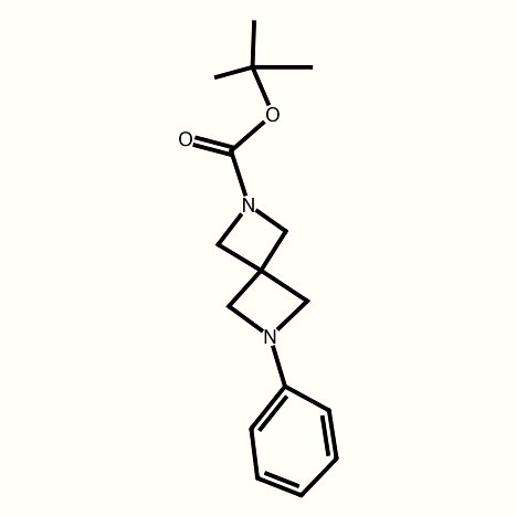 CC(C)(C)OC(=O)N1CC2(C1)CN(c1ccccc1)C2